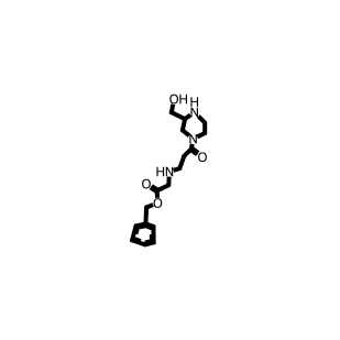 O=C(CNCCC(=O)N1CCNC(CO)C1)OCc1ccccc1